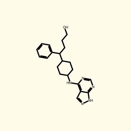 OCCCC(c1ccccc1)C1CCC(Nc2ncnc3[nH]ncc23)CC1